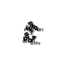 COc1ccc(N(Cc2cccnc2)c2cccc(O)c2)cc1OC1CCCC1.Oc1ccc(N(Cc2cccnc2)c2ccc(OC(F)F)c(OC(F)F)c2)cc1